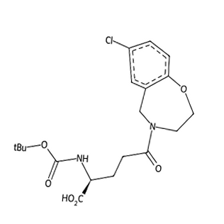 CC(C)(C)OC(=O)N[C@@H](CCC(=O)N1CCOc2ccc(Cl)cc2C1)C(=O)O